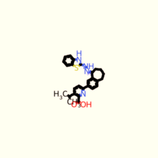 CC(C)c1ccc(-c2ccc3c(c2)/C(=N/NC2Nc4ccccc4S2)CCCC3)nc1C(=O)O